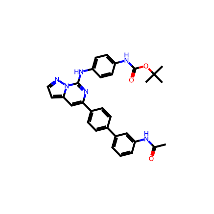 CC(=O)Nc1cccc(-c2ccc(-c3cc4ccnn4c(Nc4ccc(NC(=O)OC(C)(C)C)cc4)n3)cc2)c1